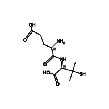 CC(C)(S)[C@H](NC(=O)[C@@H](N)CCC(=O)O)C(=O)O